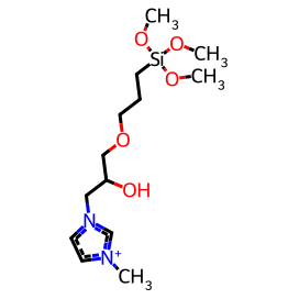 CO[Si](CCCOCC(O)Cn1cc[n+](C)c1)(OC)OC